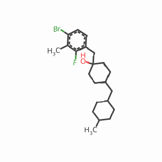 Cc1c(Br)ccc(CC2(O)CCC(CC3CCC(C)CC3)CC2)c1F